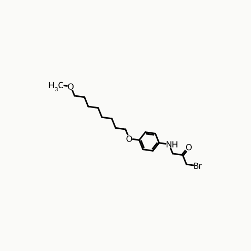 COCCCCCCCCOc1ccc(NCC(=O)CBr)cc1